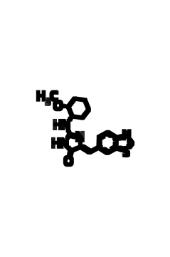 CO[C@H]1CCCC[C@H]1NC1=N/C(=C\c2ccc3ncsc3c2)C(=O)N1